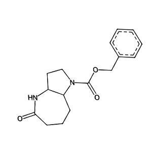 O=C1CCCC2C(CCN2C(=O)OCc2ccccc2)N1